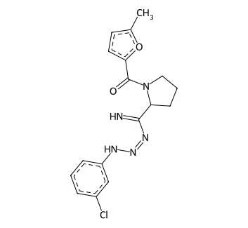 Cc1ccc(C(=O)N2CCCC2C(=N)/N=N\Nc2cccc(Cl)c2)o1